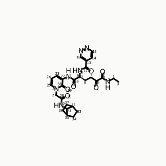 CCNC(=O)C(=O)CC[C@H](NC(=O)c1ccnnc1)C(=O)Nc1cccn(CC(=O)NC2C3CCC2CC3)c1=O